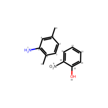 Cc1ccc(C)c(N)c1.O=[N+]([O-])c1ccccc1O